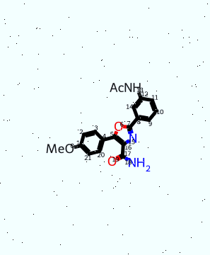 COc1ccc(-c2oc(-c3cccc(NC(C)=O)c3)nc2C(N)=O)cc1